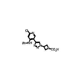 CC(C)Nc1cc(Cl)ncc1-c1cn(C2CN(C(=O)O)C2)nn1